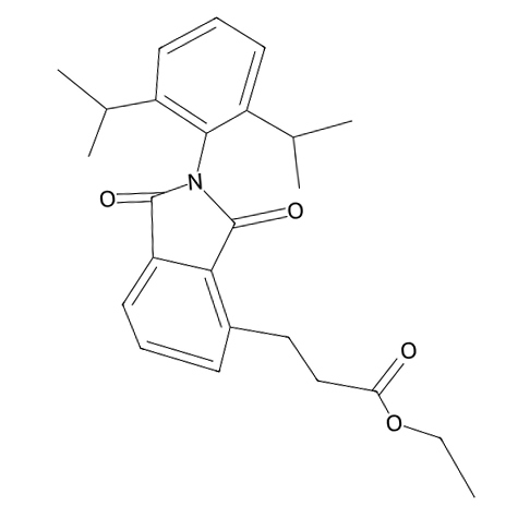 CCOC(=O)CCc1cccc2c1C(=O)N(c1c(C(C)C)cccc1C(C)C)C2=O